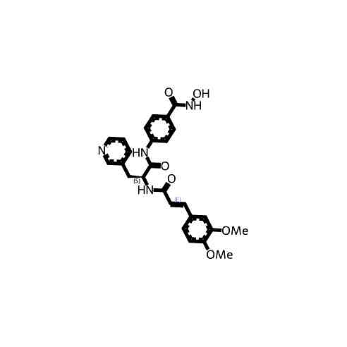 COc1ccc(/C=C/C(=O)N[C@@H](Cc2cccnc2)C(=O)Nc2ccc(C(=O)NO)cc2)cc1OC